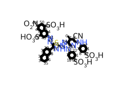 Cc1c(C#N)c(Nc2ccc(S(=O)(=O)O)cc2)nc(Nc2ccc(S(=O)(=O)O)cc2)c1/N=N/c1nc(-c2ccc3ccccc3c2)c(N=Nc2cc(S(=O)(=O)O)c3cc([N+](=O)[O-])cc(S(=O)(=O)O)c3c2)s1